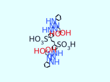 O=S(=O)(O)c1cc(Nc2nc(CC(O)O)nc(Nc3ccccc3)n2)ccc1C=Cc1ccc(Nc2nc(CC(O)O)nc(Nc3ccccc3)n2)cc1S(=O)(=O)O